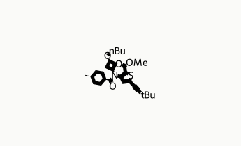 CCCCO[C@H]1C[C@@H](N(c2cc(C#CC(C)(C)C)sc2C(=O)OC)C(=O)[C@H]2CC[C@H](C)CC2)C1